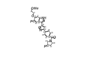 COCCOc1cc2[nH]nc(-c3cc(-c4ccc(C(=O)N5CC[C@@H](F)C5)cc4)no3)c2cc1F